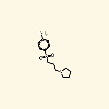 Nc1ccc(S(=O)(=O)CCCN2CCCC2)cc1